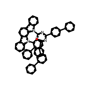 c1ccc(-c2ccc(-c3nc(-c4ccccc4)nc(-n4c5ccccc5c5ccc6c7ccccc7n(-c7cccc(-c8cccc(-c9ccccc9)c8)c7-c7ccccc7)c6c54)n3)cc2)cc1